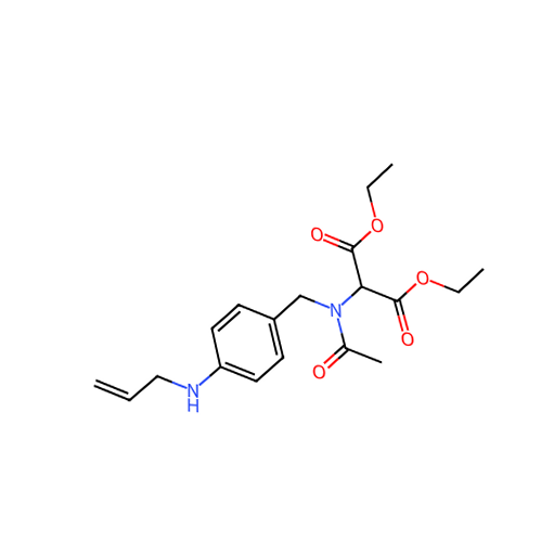 C=CCNc1ccc(CN(C(C)=O)C(C(=O)OCC)C(=O)OCC)cc1